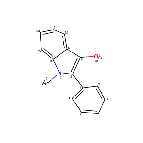 CC(=O)n1c(-c2ccccc2)c(O)c2ccccc21